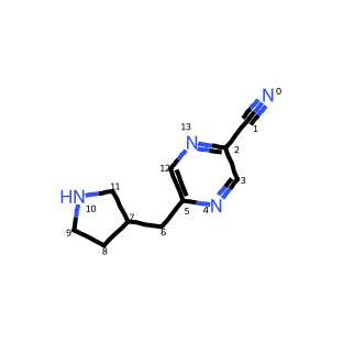 N#Cc1cnc(CC2CCNC2)cn1